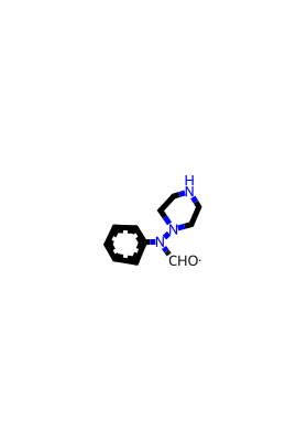 O=[C]N(c1ccccc1)N1CCNCC1